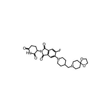 O=C1CCC(N2C(=O)c3cc(F)c(N4CCC(CN5CCC6(CC5)OCCO6)CC4)cc3C2=O)C(=O)N1